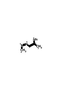 CCC/C(C)=C\N=N/C